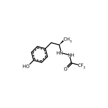 C[C@H](Cc1ccc(O)cc1)NNC(=O)C(F)(F)F